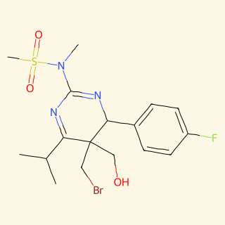 CC(C)C1=NC(N(C)S(C)(=O)=O)=NC(c2ccc(F)cc2)C1(CO)CBr